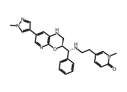 Cn1cc(-c2cnc3c(c2)NC[C@@H]([C@H](NCCc2ccc(=O)n(C)c2)c2ccccc2)O3)cn1